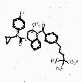 C[C@H]1C[C@H](C(=O)N(c2ccc(Cl)cc2)C2CC2)c2ccccc2N1C(=O)c1ccc(CCCC(C)(C)C(=O)O)cc1